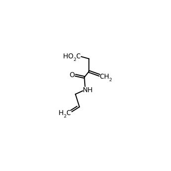 C=CCNC(=O)C(=C)CC(=O)O